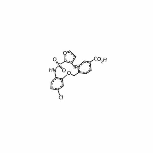 CC(C)c1ccoc1S(=O)(=O)Nc1ccc(Cl)cc1OCc1ccc(C(=O)O)cc1